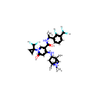 CC(NC(=O)c1cn(C2(C(F)F)CC2)c(=O)cc1N[C@@H]1C[C@@H]2C[C@H]1CN2C)c1cccc(C(F)F)c1F